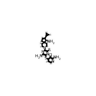 Nc1nc(N2CCC3(CC=C(C4CC4)[C@H]3N)CC2)c(F)nc1Sc1ccnc(N)c1Cl